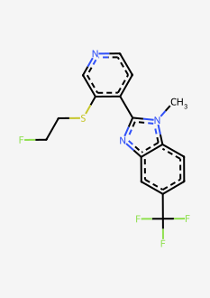 Cn1c(-c2ccncc2SCCF)nc2cc(C(F)(F)F)ccc21